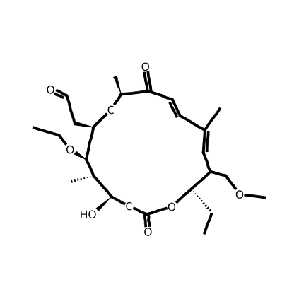 CCO[C@H]1[C@@H](CC=O)C[C@@H](C)C(=O)/C=C/C(C)=C/C(COC)[C@H](CC)OC(=O)C[C@@H](O)[C@@H]1C